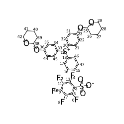 O=S(=O)([O-])c1c(F)c(F)c(F)c(F)c1F.c1ccc([S+](c2ccc(OC3CCCCO3)cc2)c2ccc(OC3CCCCO3)cc2)cc1